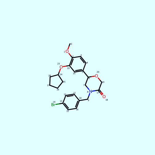 COc1ccc(C2CN(Cc3ccc(Br)cc3)C(=O)CO2)cc1OC1CCCC1